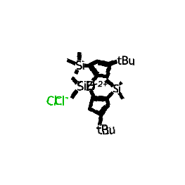 C[SiH](C)[Zr+2]([C]1=C([Si](C)(C)C)C=C(C(C)(C)C)C1)[C]1=C([Si](C)(C)C)C=C(C(C)(C)C)C1.[Cl-].[Cl-]